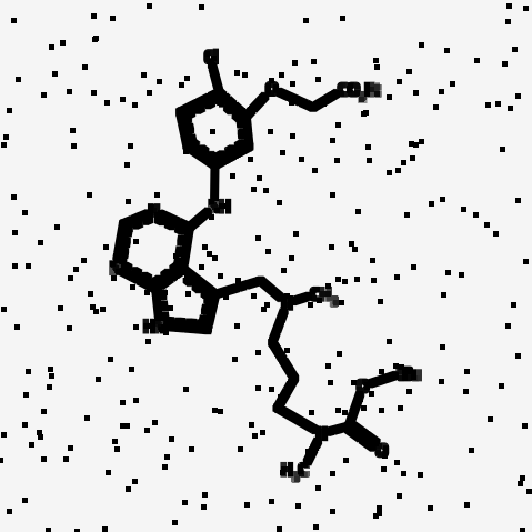 CCOC(=O)COc1cc(Nc2ncnc3[nH]cc(CN(C)CCCN(C)C(=O)OC(C)(C)C)c23)ccc1Cl